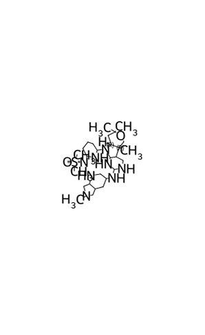 CN1CC2CC(NC3NCC4C(N3)N(C3CCCC(N=S(C)(C)=O)N3)[C@@H]3CC(C)(C)OC[C@]43C)CNC2C1